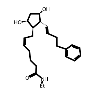 CCNC(=O)CCC/C=C\C[C@@H]1[C@@H](/C=C/CCc2ccccc2)[C@H](O)C[C@@H]1O